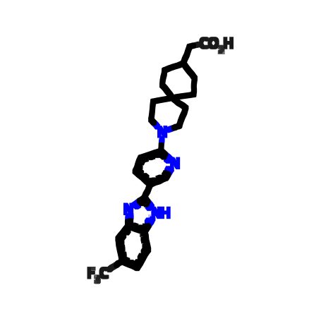 O=C(O)CC1CCC2(CC1)CCN(c1ccc(-c3nc4cc(C(F)(F)F)ccc4[nH]3)cn1)CC2